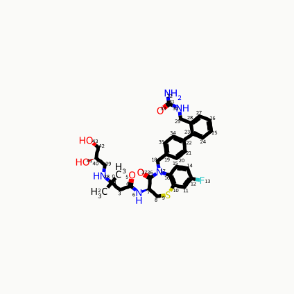 CC(C)(CC(=O)N[C@@H]1CSc2cc(F)ccc2N(Cc2ccc(-c3ccccc3CNC(N)=O)cc2)C1=O)NC[C@H](O)CO